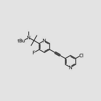 CN(C(C)(C)C)C(C)(C)c1ncc(C#Cc2cncc(Cl)c2)cc1F